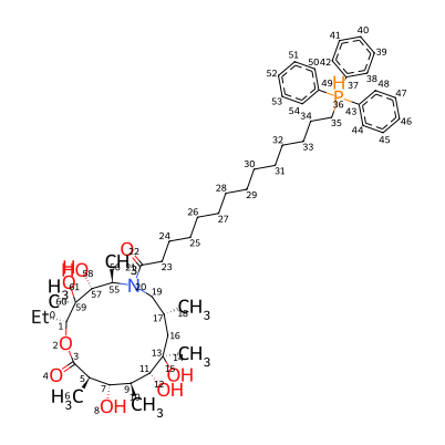 CC[C@H]1OC(=O)[C@H](C)[C@@H](O)[C@H](C)[C@@H](O)[C@](C)(O)C[C@@H](C)CN(C(=O)CCCCCCCCCCCCC[PH](c2ccccc2)(c2ccccc2)c2ccccc2)[C@H](C)[C@@H](O)[C@]1(C)O